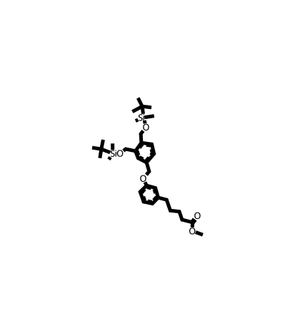 COC(=O)CCCCc1cccc(OCc2ccc(CO[Si](C)(C)C(C)(C)C)c(CO[Si](C)(C)C(C)(C)C)c2)c1